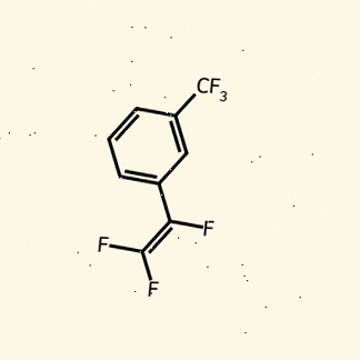 FC(F)=C(F)c1cccc(C(F)(F)F)c1